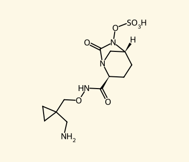 NCC1(CONC(=O)[C@@H]2CC[C@@H]3CN2C(=O)N3OS(=O)(=O)O)CC1